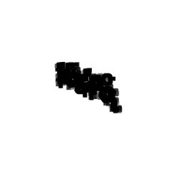 CCCc1ccc(-c2c([O])cc(F)c(C(F)(F)Oc3cc(F)c(C(F)(F)F)c(F)c3)c2F)cc1